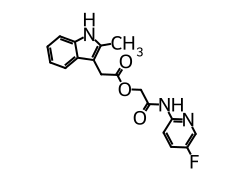 Cc1[nH]c2ccccc2c1CC(=O)OCC(=O)Nc1ccc(F)cn1